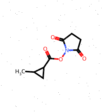 CC1CC1C(=O)ON1C(=O)CCC1=O